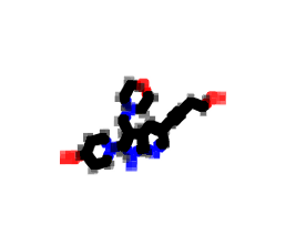 OCCC#Cc1cnc2[nH]c(N3CCC(O)CC3)c(CN3CCOCC3)c2c1